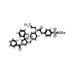 C=CCN(C(=O)Cc1ccc(S(=O)(=O)NC)cc1)C1CCN(C[C@H]2CN(C(=O)c3ccncc3)C[C@]2(O)c2ccccc2)CC1